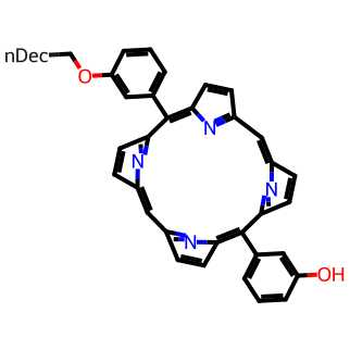 CCCCCCCCCCCOc1cccc(C2=C3C=CC(=N3)C=C3C=CC(=N3)C(c3cccc(O)c3)=C3C=CC(=N3)C=C3C=CC2=N3)c1